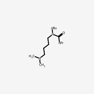 CCCCN(CCCCN(C)C)C(=O)CCC